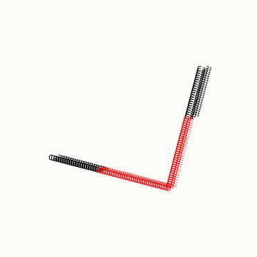 [Ca+2].[Ca+2].[Ca+2].[Ca+2].[Ca+2].[Ca+2].[Ca+2].[Ca+2].[Ca+2].[Ca+2].[Ca+2].[Ca+2].[Ca+2].[Ca+2].[Ca+2].[Ca+2].[Ca+2].[Ca+2].[Ca+2].[Ca+2].[Ca+2].[Ca+2].[Ca+2].[Ca+2].[Ca+2].[Ca+2].[Ca+2].[Ca+2].[Ca+2].[Ca+2].[Ca+2].[Ca+2].[Ca+2].[Ca+2].[Ca+2].[Ca+2].[Ca+2].[Ca+2].[Ca+2].[Ca+2].[Ca+2].[Ca+2].[Ca+2].[Ca+2].[Ca+2].[O-2].[O-2].[O-2].[O-2].[O-2].[O-2].[O-2].[O-2].[O-2].[O-2].[O-2].[O-2].[O-2].[O-2].[O-2].[O-2].[O-2].[O-2].[O-2].[O-2].[O-2].[O-2].[O-2].[O-2].[O-2].[O-2].[O-2].[O-2].[O-2].[O-2].[O-2].[O-2].[O-2].[O-2].[O-2].[O-2].[O-2].[O-2].[O-2].[O-2].[O-2].[O-2].[O-2].[O-2].[O-2].[O-2].[O-2].[O-2].[O-2].[O-2].[O-2].[O-2].[O-2].[O-2].[O-2].[O-2].[O-2].[O-2].[O-2].[O-2].[O-2].[O-2].[O-2].[O-2].[O-2]